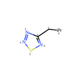 CC(C)Cc1nnsn1